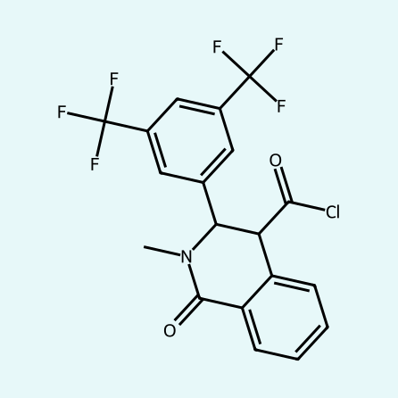 CN1C(=O)c2ccccc2C(C(=O)Cl)C1c1cc(C(F)(F)F)cc(C(F)(F)F)c1